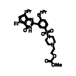 CCCOc1ccc(S(=O)(=O)N2CCN(CCOC(=O)OC)CC2)cc1-c1nc2c(CCC)cn(CC)c2c(=O)[nH]1